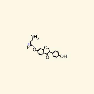 NC/C=C(/F)COC1=CC2OCC(c3ccc(O)cc3)C(=O)C2C=C1